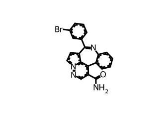 NC(=O)c1cnn2ccc3c2c1-c1ccccc1N=C3c1cccc(Br)c1